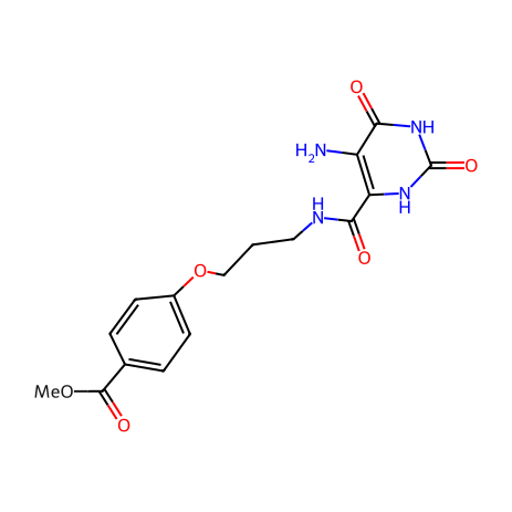 COC(=O)c1ccc(OCCCNC(=O)c2[nH]c(=O)[nH]c(=O)c2N)cc1